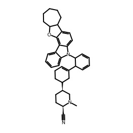 CN1C[C@H](C2CCC=C(C3C=CC=CC3n3c4ccccc4c4c5c(ccc43)C3CCCCCC3O5)C2)CC[C@@H]1C#N